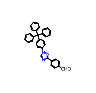 O=Cc1ccc(-c2ncn(-c3ccc(C(c4ccccc4)(c4ccccc4)c4ccccc4)cc3)n2)cc1